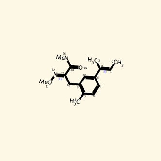 C/C=C(\C)c1ccc(C)c(C/C(=N\OC)C(=O)NC)c1